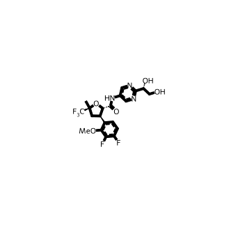 COc1c([C@H]2C[C@@](C)(C(F)(F)F)O[C@@H]2C(=O)Nc2cnc([C@H](O)CO)nc2)ccc(F)c1F